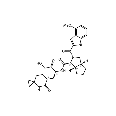 COc1cccc2[nH]c(C(=O)N3C[C@@H]4CCC[C@@H]4[C@H]3C(=O)N[C@@H](C[C@@H]3CCC4(CC4)NC3=O)C(=O)CO)cc12